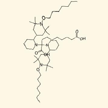 CCCCCCCON1C(C)(C)CC(C2CCCCN2C(CCCCCCCC(=O)O)(C(=O)O)N2CCCCC2C2CC(C)(C)N(OCCCCCCC)C(C)(C)C2)CC1(C)C